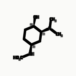 CN(C)[C@H]1C[C@@H](NC(=O)O)CC[C@@H]1O